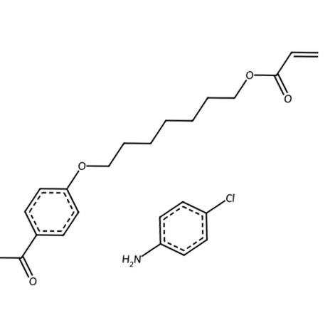 C=CC(=O)OCCCCCCCOc1ccc(C(=O)O)cc1.Nc1ccc(Cl)cc1